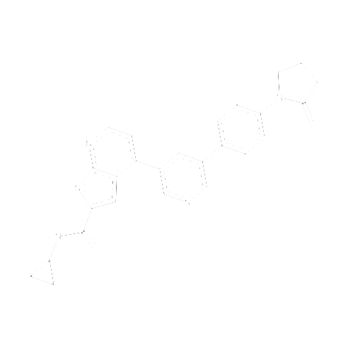 O=C(NC1CC1)c1cc2c(-c3cncc(-c4ccc(N5CCCC5=O)cc4)c3)ccnc2[nH]1